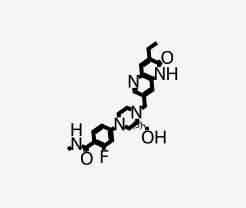 CCc1cc2ncc(CN3CCN(c4ccc(C(=O)NC)c(F)c4)C[C@H]3CO)cc2[nH]c1=O